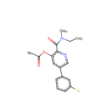 CON(CC=O)C(=O)c1ncc(-c2cccc(F)c2)cc1OC(=O)C(C)(C)C